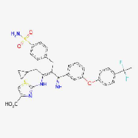 CC(F)(F)c1ccc(Oc2cccc(C(=N)/C(Cc3ccc(S(N)(=O)=O)cc3)=C(/CC3CC3)Nc3nc(C(=O)O)cs3)c2)cc1